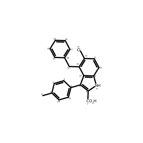 Cc1ccc(-c2c(C(=O)O)[nH]c3ccc(Cl)c(Cc4ccccc4)c23)cc1